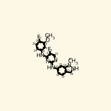 COc1cc(Nc2nc(Nc3ccc4c(c3)N(C)NC4)ncc2F)ccc1F